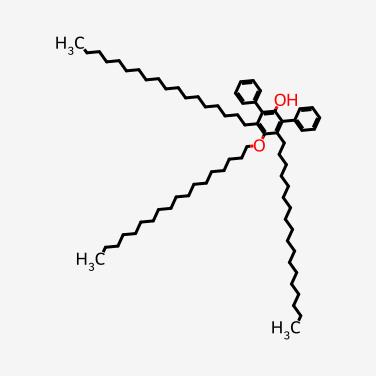 CCCCCCCCCCCCCCCCCCOc1c(CCCCCCCCCCCCCCCCCC)c(-c2ccccc2)c(O)c(-c2ccccc2)c1CCCCCCCCCCCCCCCCCC